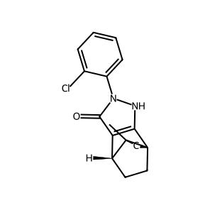 CC12C[C@@]13CC[C@@H]2c1c3[nH]n(-c2ccccc2Cl)c1=O